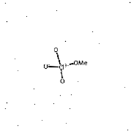 CO[Cl+3]([O-])([O-])[O-]